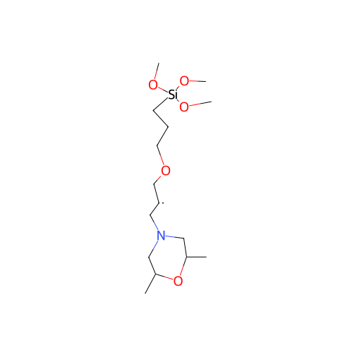 CO[Si](CCCOC[CH]CN1CC(C)OC(C)C1)(OC)OC